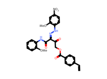 C=Cc1ccc(C(=O)OCC(=O)/C(=N\Nc2ccc([N+](=O)[O-])cc2OC)C(=O)Nc2ccccc2OC)cc1